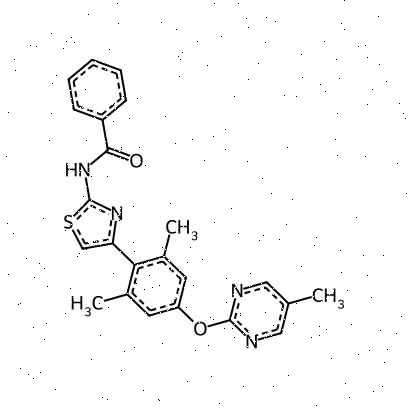 Cc1cnc(Oc2cc(C)c(-c3csc(NC(=O)c4ccccc4)n3)c(C)c2)nc1